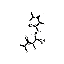 CC(C)C(=O)C(C)C(O)N=NC(O)C(C)C(=O)C(C)C